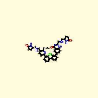 COc1nc(-c2cccc(-c3cccc(-c4ccc5[nH]c(CNC[C@H]6CCC(=O)N6)nc(=O)c5c4)c3Cl)c2Cl)ccc1CNC[C@H]1CCC(=O)N1